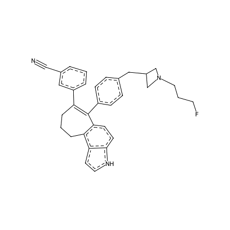 N#Cc1cccc(C2=C(c3ccc(CC4CN(CCCF)C4)cc3)c3ccc4[nH]ccc4c3CCC2)c1